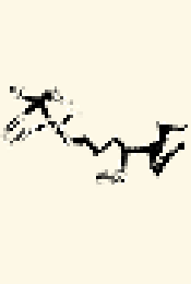 CC(C)(C)[Si](C)(C)OCCCC(O)c1ccsc1